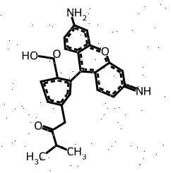 CC(C)C(=O)Cc1ccc(C(=O)O)c(-c2c3ccc(=N)cc-3oc3cc(N)ccc23)c1